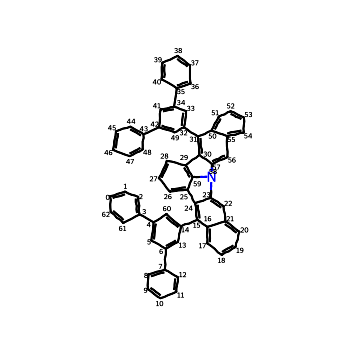 c1ccc(-c2cc(-c3ccccc3)cc(-c3c4ccccc4cc4c3c3cccc5c6c(-c7cc(-c8ccccc8)cc(-c8ccccc8)c7)c7ccccc7cc6n4c35)c2)cc1